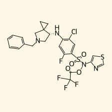 O=C(ON(c1cscn1)S(=O)(=O)c1cc(Cl)c(N[C@@H]2CN(Cc3ccccc3)CC23CC3)cc1F)C(F)(F)F